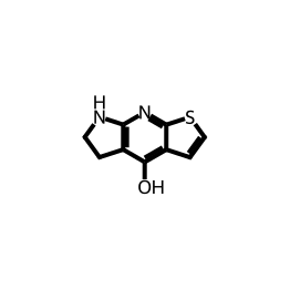 Oc1c2c(nc3sccc13)NCC2